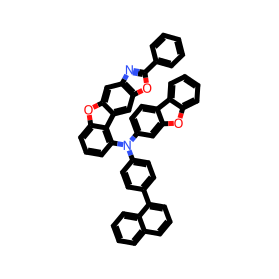 c1ccc(-c2nc3cc4oc5cccc(N(c6ccc(-c7cccc8ccccc78)cc6)c6ccc7c(c6)oc6ccccc67)c5c4cc3o2)cc1